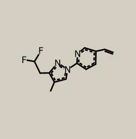 C=Cc1ccc(-n2cc(C)c(CC(F)F)n2)nc1